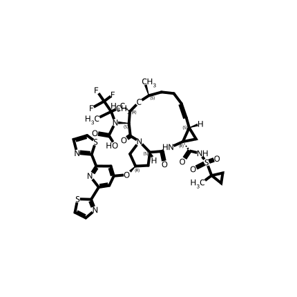 C[C@H]1CCC=C[C@@H]2C[C@@]2(C(=O)NS(=O)(=O)C2(C)CC2)NC(=O)[C@@H]2C[C@@H](Oc3cc(-c4nccs4)nc(-c4nccs4)c3)CN2C(=O)[C@@H](N(C(=O)O)C(C)(C)C(F)(F)F)[C@H](C)C1